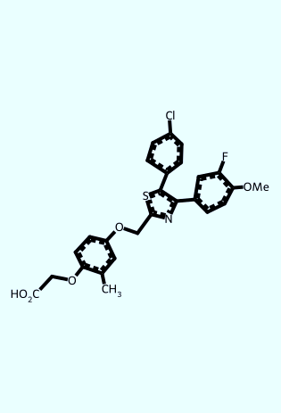 COc1ccc(-c2nc(COc3ccc(OCC(=O)O)c(C)c3)sc2-c2ccc(Cl)cc2)cc1F